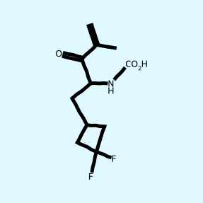 C=C(C)C(=O)C(CC1CC(F)(F)C1)NC(=O)O